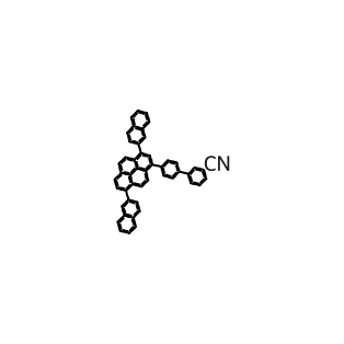 N#Cc1cccc(-c2ccc(-c3cc(-c4ccc5ccccc5c4)c4ccc5ccc(-c6ccc7ccccc7c6)c6ccc3c4c56)cc2)c1